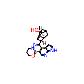 O[C@H]1CC2CC3CC(CC1C3)[C@@H]2C1=NN2CCCOB2c2cnc3[nH]ccc3c21